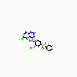 Cl.O=S(=O)(c1ccccc1)c1ccc(Nc2ncnc3cnc(Cl)cc23)cc1